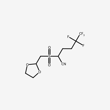 N#CC(CCC(F)(F)C(F)(F)F)S(=O)(=O)CC1OCCO1